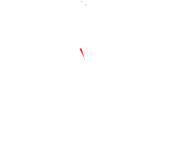 NC(=O)O[C@H]1CC[C@H](CO)CC1